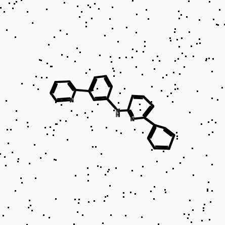 c1ccc(-c2cccc(Nc3cccc(-c4ccccn4)c3)n2)cc1